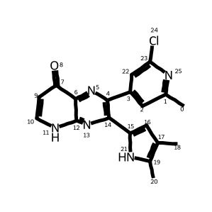 Cc1cc(-c2nc3c(=O)cc[nH]c3nc2-c2cc(C)c(C)[nH]2)cc(Cl)n1